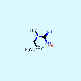 CN(CC(=O)O)C(=N)N.O.[CaH2]